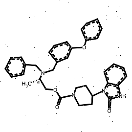 C[C@@H](COC(=O)N1CCC(n2c(=O)[nH]c3ccccc32)CC1)N(Cc1ccccc1)Cc1cccc(Oc2ccccc2)c1